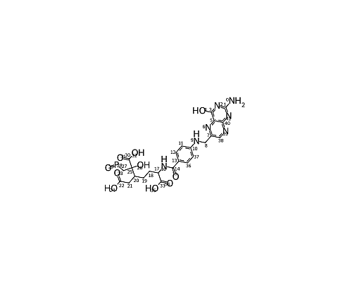 Nc1nc(O)c2nc(CNc3ccc(C(=O)NC(CCC(CC(=O)O)C(O)(CP=O)C(=O)O)C(=O)O)cc3)cnc2n1